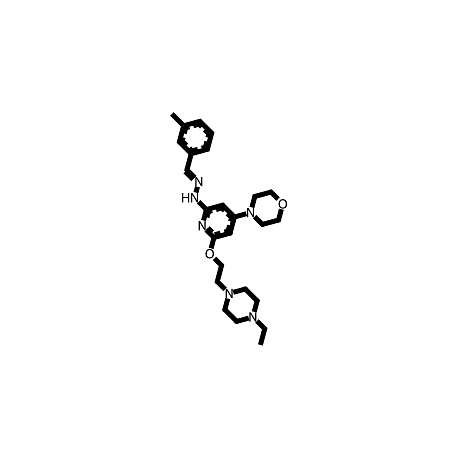 CCN1CCN(CCOc2cc(N3CCOCC3)cc(NN=Cc3cccc(C)c3)n2)CC1